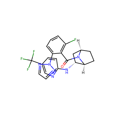 O=C(c1c(F)cccc1-n1nccn1)N1[C@@H]2CC[C@H]1[C@H](Nc1ccc(C(F)(F)F)cn1)C2